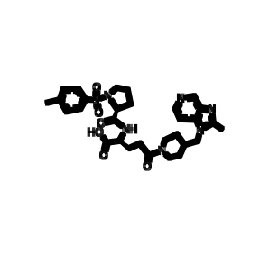 Cc1ccc(S(=O)(=O)N2CCC[C@H]2C(=O)N[C@@H](CCC(=O)N2CCC(Cn3c(C)nc4cnccc43)CC2)C(=O)O)cc1